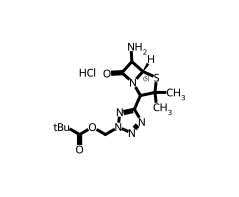 CC(C)(C)C(=O)OCn1nnc(C2N3C(=O)C(N)[C@@H]3SC2(C)C)n1.Cl